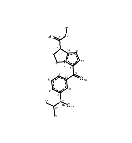 COC(=O)C1CCn2c(C(=O)c3cccc([S+]([O-])C(C)C)c3)ccc21